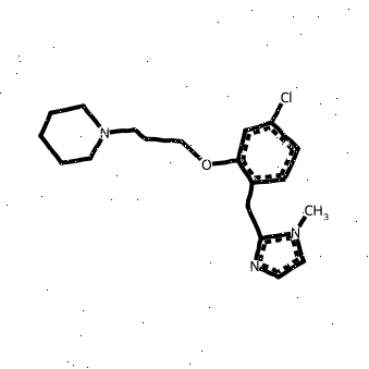 Cn1ccnc1Cc1ccc(Cl)cc1OCCCN1CCCCC1